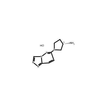 Cl.N[C@H]1CCN(c2ccc3nncn3n2)C1